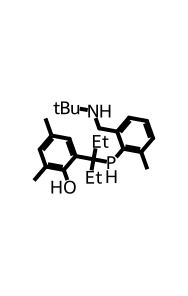 CCC(CC)(Pc1c(C)cccc1CNC(C)(C)C)c1cc(C)cc(C)c1O